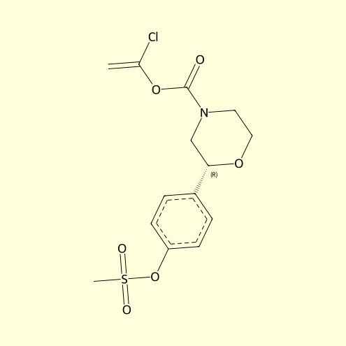 C=C(Cl)OC(=O)N1CCO[C@H](c2ccc(OS(C)(=O)=O)cc2)C1